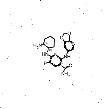 NC(=O)c1cc(F)c(N[C@@H]2CCCC[C@@H]2N)nc1Nc1cnc2c(c1)OCO2